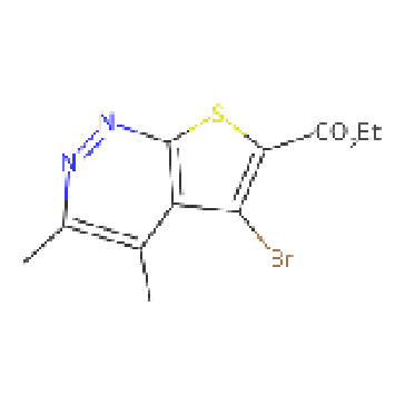 CCOC(=O)c1sc2nnc(C)c(C)c2c1Br